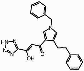 O=C(C=C(O)c1nn[nH]n1)c1cn(Cc2ccccc2)cc1CCc1ccccc1